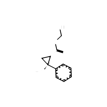 CCOC(=O)[C@H]1C[C@@]1(C)c1ccccc1